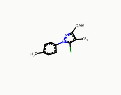 COc1nn(-c2ccc(C)cc2)c(F)c1C(F)(F)F